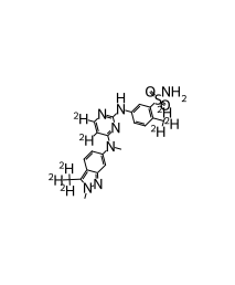 [2H]c1nc(Nc2ccc(C([2H])([2H])[2H])c(S(N)(=O)=O)c2)nc(N(C)c2ccc3c(C([2H])([2H])[2H])n(C)nc3c2)c1[2H]